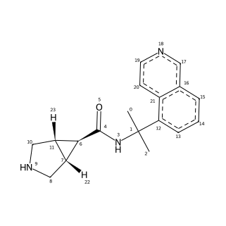 CC(C)(NC(=O)[C@H]1[C@@H]2CNC[C@@H]21)c1cccc2cnccc12